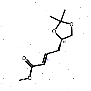 COC(=O)/C=C/C[C@@H]1COC(C)(C)O1